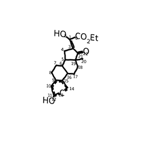 CCOC(=O)C(O)=C1CC2C3CCc4cc(O)ccc4C3CCC2(C)C1=O